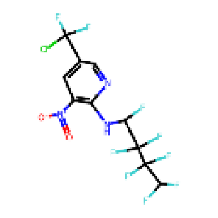 O=[N+]([O-])c1cc(C(F)(F)Cl)cnc1NC(F)C(F)(F)C(F)(F)C(F)F